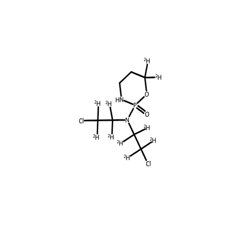 [2H]C1([2H])CCNP(=O)(N(C([2H])([2H])C([2H])([2H])Cl)C([2H])([2H])C([2H])([2H])Cl)O1